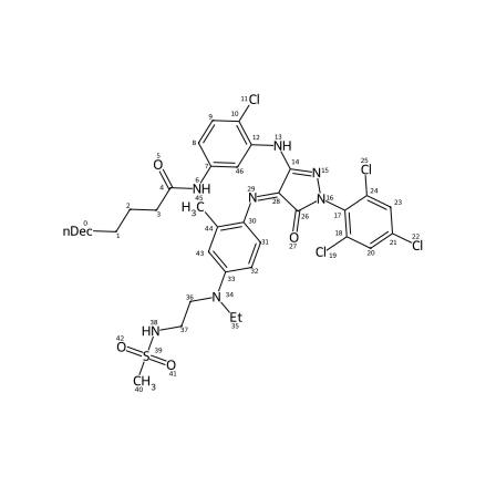 CCCCCCCCCCCCCC(=O)Nc1ccc(Cl)c(NC2=NN(c3c(Cl)cc(Cl)cc3Cl)C(=O)/C2=N\c2ccc(N(CC)CCNS(C)(=O)=O)cc2C)c1